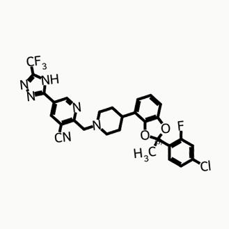 C[C@]1(c2ccc(Cl)cc2F)Oc2cccc(C3CCN(Cc4ncc(-c5nnc(C(F)(F)F)[nH]5)cc4C#N)CC3)c2O1